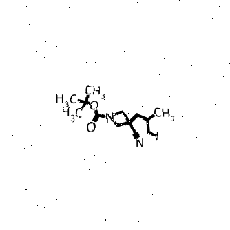 CC(CI)CC1(C#N)CN(C(=O)OC(C)(C)C)C1